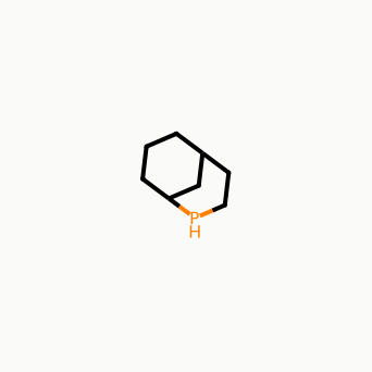 C1CC2CCPC(C1)C2